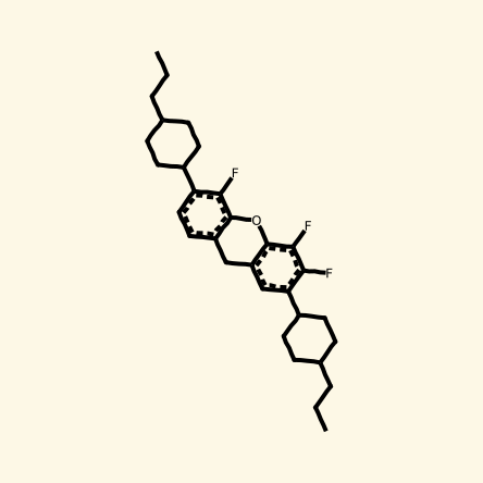 CCCC1CCC(c2cc3c(c(F)c2F)Oc2c(ccc(C4CCC(CCC)CC4)c2F)C3)CC1